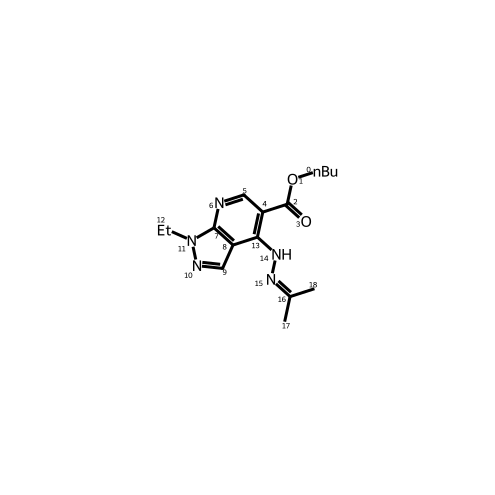 CCCCOC(=O)c1cnc2c(cnn2CC)c1NN=C(C)C